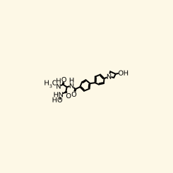 CNC(=O)C(NC(=O)c1ccc(-c2ccc(N3CC(O)C3)cc2)cc1)C(=O)NO